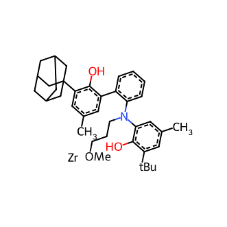 COCCCN(c1ccccc1-c1cc(C)cc(C23CC4CC(CC(C4)C2)C3)c1O)c1cc(C)cc(C(C)(C)C)c1O.[Zr]